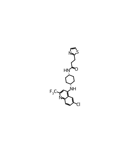 O=C(CCc1nccs1)N[C@H]1CC[C@@H](Nc2cc(C(F)(F)F)nc3ccc(Cl)cc23)CC1